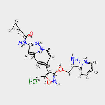 Cc1onc(OCC(N)c2ccccn2)c1-c1ccn2nc(NC(=O)C3CC3)cc2c1.Cl